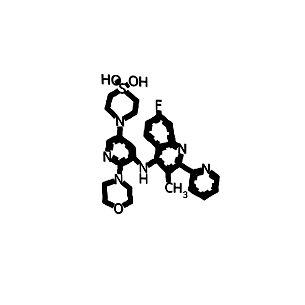 Cc1c(-c2ccccn2)nc2cc(F)ccc2c1Nc1cc(N2CCS(O)(O)CC2)cnc1N1CCOCC1